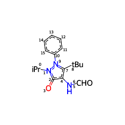 CC(C)n1c(=O)c(NC=O)c(C(C)(C)C)n1-c1ccccc1